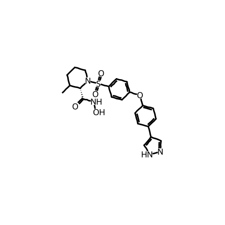 CC1CCCN(S(=O)(=O)c2ccc(Oc3ccc(-c4cn[nH]c4)cc3)cc2)[C@@H]1C(=O)NO